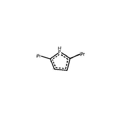 CC(C)c1[c]cc(C(C)C)[pH]1